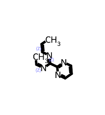 C\C=C/N=C(\N=C/C)c1ncccn1